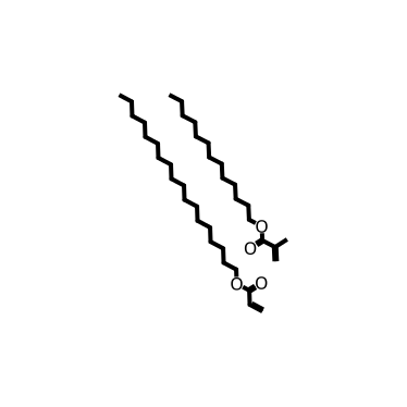 C=C(C)C(=O)OCCCCCCCCCCCCC.C=CC(=O)OCCCCCCCCCCCCCCCCCC